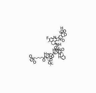 CC[C@@]1(O)C(=O)OCc2c1cc1n(c2=O)Cc2c-1nc1cc(F)c(C)c3c1c2[C@@H](NC(=O)CNC(=O)[C@H](Cc1ccccc1)NC(=O)CNC(=O)CN(C)C(=O)[C@H](CC(=O)OC(C)(C)C)NC(=O)CCCCCN1C(=O)C=CC1=O)CC3